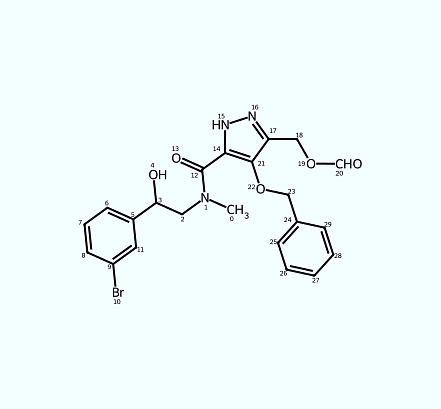 CN(CC(O)c1cccc(Br)c1)C(=O)c1[nH]nc(COC=O)c1OCc1ccccc1